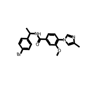 COc1cc(C(=O)NC(C)c2ccc(Br)cc2)ccc1-n1cnc(C)c1